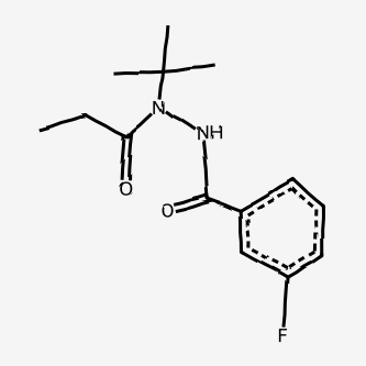 CCC(=O)N(NC(=O)c1cccc(F)c1)C(C)(C)C